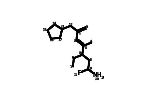 C=C(/C=C(\C)C(CC)CC(N)F)CC1CCCC1